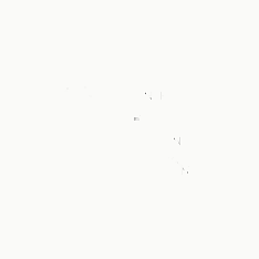 CC1=NCCN1CC[C@@H]([NH])CSc1ccccc1